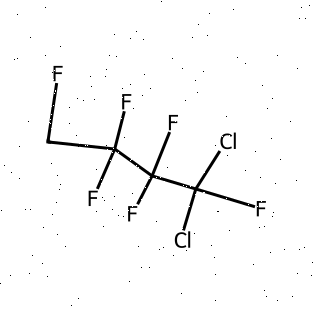 FCC(F)(F)C(F)(F)C(F)(Cl)Cl